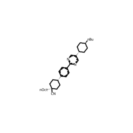 CCCCCCCC[C@]1(C#N)CC[C@H](c2ccc(-c3ncc([C@H]4CC[C@H](CCCC)CC4)cn3)cc2)CC1